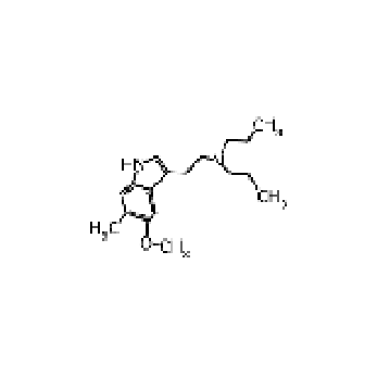 CCCN(CCC)CCc1c[nH]c2cc(C)c(OC)cc12